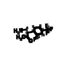 CC(=O)[C@H](CN)c1ccc(C(F)(F)F)cc1F